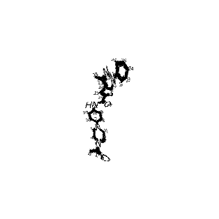 CC(=O)N1CCN(C2CCC(NC(=O)c3cc4c(C)nn(-c5ccccc5)c4s3)CC2)CC1